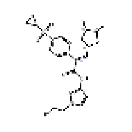 O=C(Nc1ccn(CCF)n1)/C(=C/[C@H]1C[C@@H](F)[C@@H](F)C1)c1ccc(S(=O)(=O)C2CC2)cc1